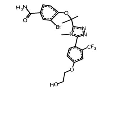 Cn1c(-c2ccc(OCCO)cc2C(F)(F)F)nnc1C(C)(C)Oc1ccc(C(N)=O)cc1Br